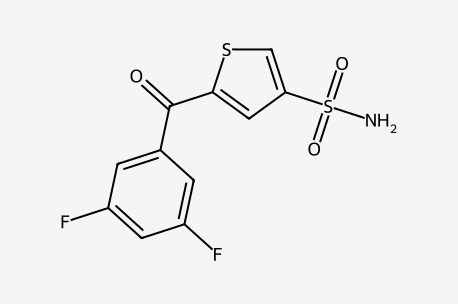 NS(=O)(=O)c1csc(C(=O)c2cc(F)cc(F)c2)c1